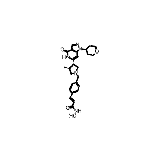 C[C@@H]1CN(Cc2ccc(/C=C/C(=O)NO)cc2)C[C@H]1c1cc2c(cnn2C2CCOCC2)c(=O)[nH]1